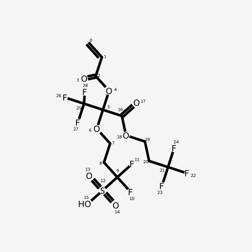 C=CC(=O)OC(OCCC(F)(F)S(=O)(=O)O)(C(=O)OCCC(F)(F)F)C(F)(F)F